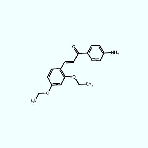 CCOc1ccc(C=CC(=O)c2ccc(N)cc2)c(OCC)c1